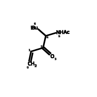 C=CC(=O)C(NC(C)=O)C(C)CC